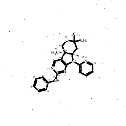 CC1(C)C[C@H]2N(c3ccccn3)c3nc(Nc4ccccc4)ncc3[C@@]2(C)CO1